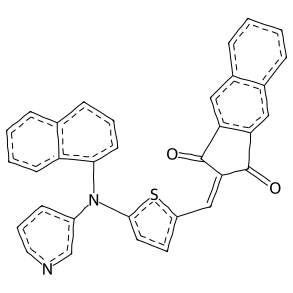 O=C1C(=Cc2ccc(N(c3cccnc3)c3cccc4ccccc34)s2)C(=O)c2cc3ccccc3cc21